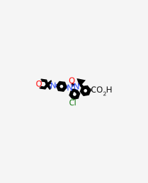 O=C(O)c1cccc(C2(n3c(=O)n(-c4ccc(N5CC6(CCOCC6)C5)cc4)c4cc(Cl)ccc43)CC2)c1